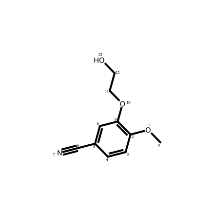 COc1ccc(C#N)cc1OCCO